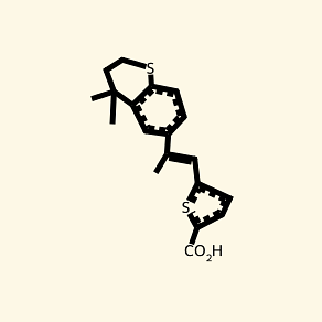 CC(=Cc1ccc(C(=O)O)s1)c1ccc2c(c1)C(C)(C)CCS2